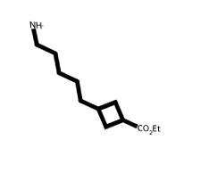 CCOC(=O)C1CC(CCCCC[NH])C1